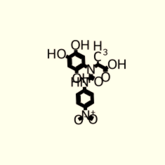 C[C@@H](C(=O)O)N(C(=O)Nc1ccc([N+](=O)[O-])cc1)c1cc(O)c(O)cc1O